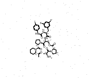 CC(=O)[C@@H]1CCCCN1C(=O)[C@@H]1CCCN1C(=O)[C@@H](NC(=O)[C@H](Cc1cc(F)cc(F)c1)NC(=O)Nc1ccc(I)cc1)[C@H](C)OC(=O)[C@@H]1C[C@H](C)CN1C(=O)[C@H](C)N